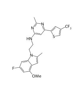 COc1cc(F)cc2c1cc(C)n2CCNc1cc(-c2cc(C(F)(F)F)cs2)nc(C)n1